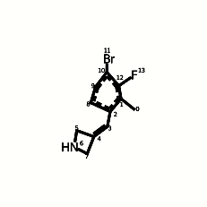 Cc1c(C=C2CNC2)ccc(Br)c1F